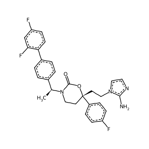 C[C@@H](c1ccc(-c2ccc(F)cc2F)cc1)N1CC[C@@](CCn2ccnc2N)(c2ccc(F)cc2)OC1=O